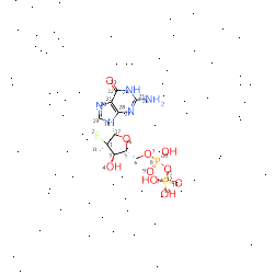 C[C@@]1(F)[C@H](O)[C@@H](COP(=O)(O)OP(=O)(O)O)O[C@H]1n1cnc2c(=O)[nH]c(N)nc21